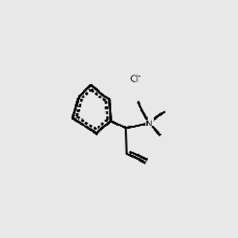 C=CC(c1ccccc1)[N+](C)(C)C.[Cl-]